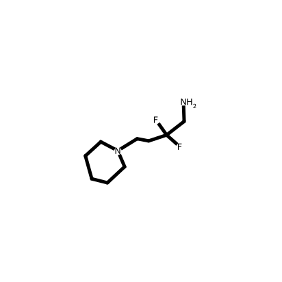 NCC(F)(F)CCN1CCCCC1